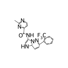 Cc1nccc(C(=O)NC2=CNC3C=CC(c4ccccc4C(F)(F)F)=NN23)n1